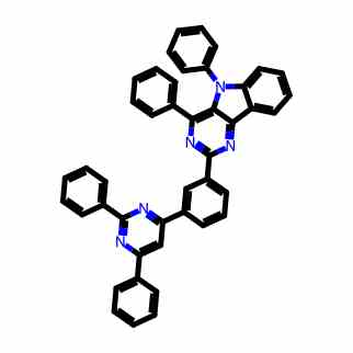 c1ccc(-c2cc(-c3cccc(-c4nc(-c5ccccc5)c5c(n4)c4ccccc4n5-c4ccccc4)c3)nc(-c3ccccc3)n2)cc1